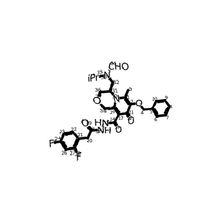 Cc1c(OCc2ccccc2)c(=O)c(C(=O)NNC(=O)Cc2ccc(F)cc2F)c2n1C(CN(C=O)C(C)C)COC2